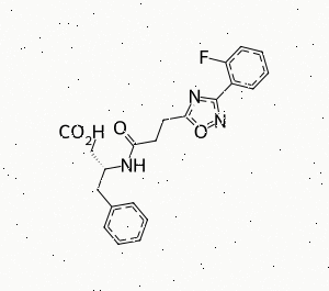 O=C(O)C[C@@H](Cc1ccccc1)NC(=O)CCc1nc(-c2ccccc2F)no1